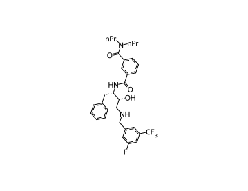 CCCN(CCC)C(=O)c1cccc(C(=O)N[C@@H](Cc2ccccc2)[C@H](O)CNCc2cc(F)cc(C(F)(F)F)c2)c1